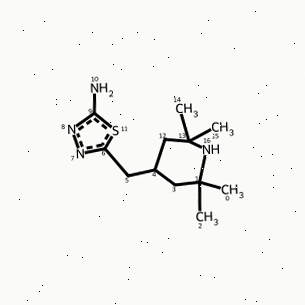 CC1(C)CC(Cc2nnc(N)s2)CC(C)(C)N1